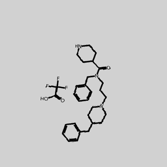 O=C(C1CCNCC1)N(CCCN1CCC(Cc2ccccc2)CC1)Cc1ccccc1.O=C(O)C(F)(F)F